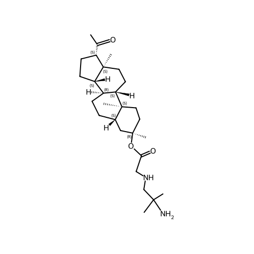 CC(=O)[C@H]1CC[C@H]2[C@@H]3CC[C@H]4C[C@](C)(OC(=O)CNCC(C)(C)N)CC[C@]4(C)[C@H]3CC[C@]12C